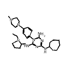 CCN1CCCC1CNC1=NC(NC2CCCCCC2)=NC(N)N1c1ccc(N2CCN(C)CC2)cc1